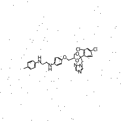 Cc1ccc(NCCNc2ccc(OCC3COC(Cn4cncn4)(c4ccc(Cl)cc4Cl)O3)cc2)cc1